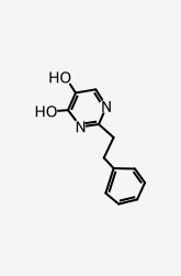 Oc1cnc(CCc2ccccc2)nc1O